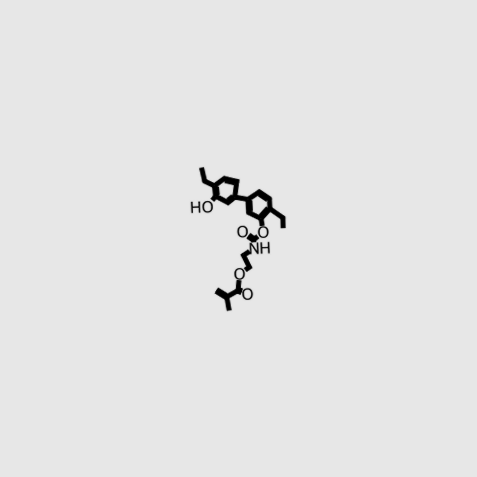 C=C(C)C(=O)OCCNC(=O)Oc1cc(-c2ccc(CC)c(O)c2)ccc1CC